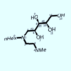 CCCCCCN(CCNC)C[C@H](O)[C@@H](O)[C@H](O)CO